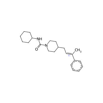 C/C(=C\CC1CCN(C(=O)NC2CCCCC2)CC1)c1ccccc1